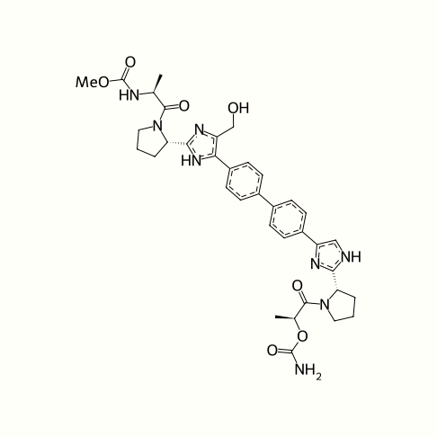 COC(=O)N[C@@H](C)C(=O)N1CCC[C@H]1c1nc(CO)c(-c2ccc(-c3ccc(-c4c[nH]c([C@@H]5CCCN5C(=O)[C@H](C)OC(N)=O)n4)cc3)cc2)[nH]1